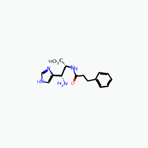 N[C@H](c1c[nH]cn1)[C@@H](NC(=O)CCc1ccccc1)C(=O)O